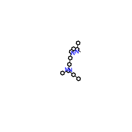 Cc1cc(-c2ccccc2)c2ccc3ccc(-c4ccc(-c5ccc(-c6nc(-c7ccccc7)cc(-c7ccc(-c8ccccc8)cc7)n6)cc5)cc4)nc3c2n1